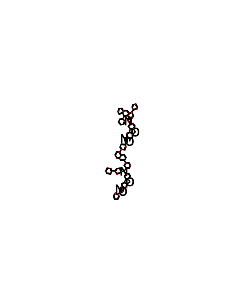 c1ccc(-c2ccc(N(c3cccc(-c4ccc5c(-c6ccc(-c7nc8cc9c(cc8o7)oc7ccc(N(c8ccc(-c%10ccccc%10)cc8)c8ccccc8-c8cccc%10ccccc8%10)cc79)cc6)cccc5c4)c3)c3ccc4oc5cc6oc(-c7ccccc7)nc6cc5c4c3)cc2)cc1